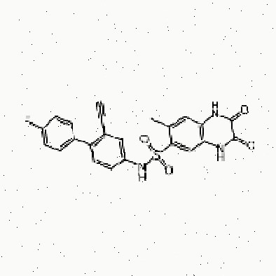 C#Cc1cc(NS(=O)(=O)c2cc3[nH]c(=O)c(=O)[nH]c3cc2C)ccc1-c1ccc(F)cc1